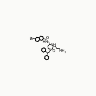 NCCC[C@@H]1N[C@H](CNC(=O)c2ccc3cc(Br)ccc3c2)CCN(CC(c2ccccc2)c2ccccc2)C1=O